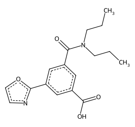 CCCN(CCC)C(=O)c1cc(C(=O)O)cc(-c2ncco2)c1